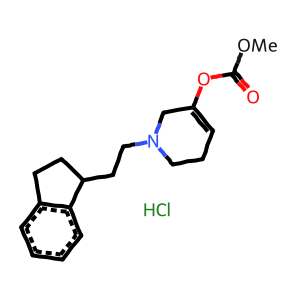 COC(=O)OC1=CCCN(CCC2CCc3ccccc32)C1.Cl